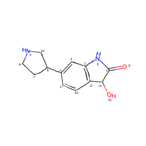 O=C1Nc2cc(C3CCNC3)ccc2C1O